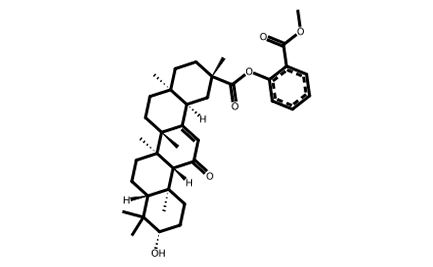 COC(=O)c1ccccc1OC(=O)[C@@]1(C)CC[C@]2(C)CC[C@]3(C)C(=CC(=O)[C@@H]4[C@@]5(C)CC[C@H](O)C(C)(C)[C@@H]5CC[C@]43C)[C@@H]2C1